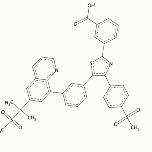 CC(C)(c1cc(-c2cccc(-c3sc(-c4cccc(C(=O)O)c4)nc3-c3ccc(S(C)(=O)=O)cc3)c2)c2ncccc2c1)S(C)(=O)=O